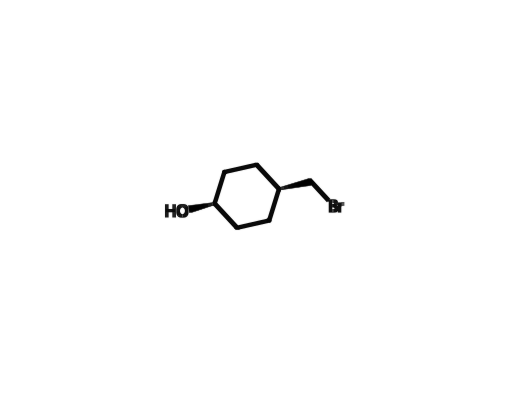 O[C@H]1CC[C@@H](CBr)CC1